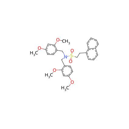 COc1ccc(CN(Cc2ccc(OC)cc2OC)S(=O)(=O)CCc2cccc3ccccc23)c(OC)c1